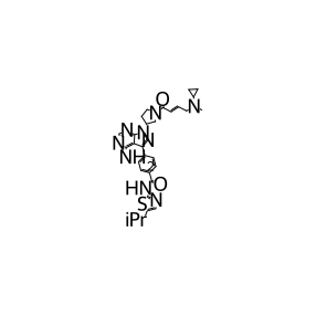 CC(C)c1cnc(NC(=O)c2ccc(-c3nn(C4CCN(C(=O)C=CCN(C)C5CC5)C4)c4ncnc(N)c34)cc2)s1